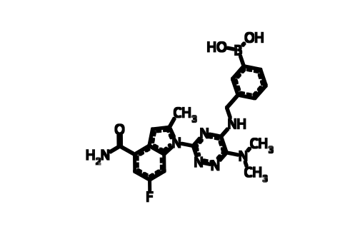 Cc1cc2c(C(N)=O)cc(F)cc2n1-c1nnc(N(C)C)c(NCc2cccc(B(O)O)c2)n1